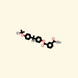 CCCC(C)(c1ccc(OC(=O)c2cccc(C(=O)C(C)(C)C)c2)cc1)c1ccc(OC(C)(C)CC)cc1